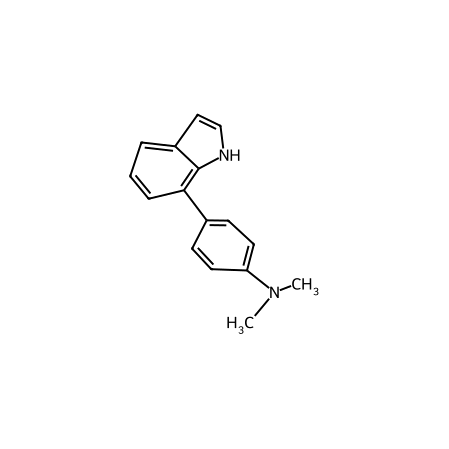 CN(C)c1ccc(-c2cccc3cc[nH]c23)cc1